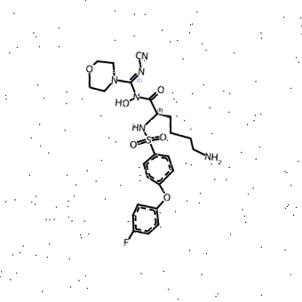 N#C/N=C(\N1CCOCC1)N(O)C(=O)[C@@H](CCCCN)NS(=O)(=O)c1ccc(Oc2ccc(F)cc2)cc1